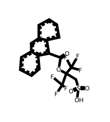 O=C(OC(CS(=O)(=O)O)(C(F)(F)F)C(F)(F)F)c1c2ccccc2cc2ccccc12